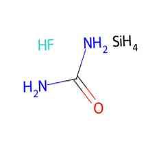 F.NC(N)=O.[SiH4]